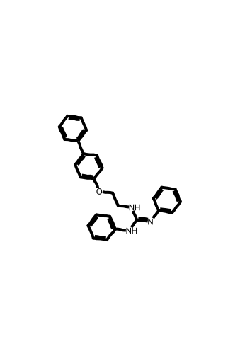 c1ccc(/N=C(\NCCOc2ccc(-c3ccccc3)cc2)Nc2ccccc2)cc1